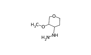 COC1COCCC1NN